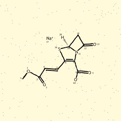 COC(=O)/C=C/C1=C(C(=O)[O-])N2C(=O)C[C@@H]2S1.[Na+]